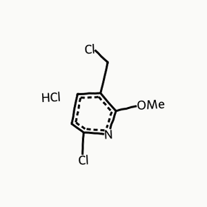 COc1nc(Cl)ccc1CCl.Cl